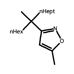 CCCCCCCC(C)(CCCCCC)c1cc(C)on1